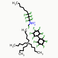 CCCCCCC(F)(F)C(F)(F)C(F)(F)[NH2+]CF.CCCCC[B-](CCCCC)(CCCCC)CCCCC.Fc1c(F)c(F)c(-c2c(F)c(F)c(F)c(F)c2F)c(F)c1F